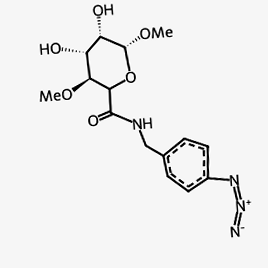 CO[C@@H]1OC(C(=O)NCc2ccc(N=[N+]=[N-])cc2)[C@@H](OC)[C@H](O)[C@@H]1O